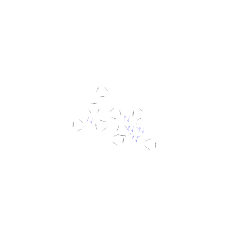 c1ccc(-c2ccc3c(c2)c2c(-c4cccc5c4c4ccccc4n5-c4ccccc4-c4nc(-c5ccccc5)nc(-c5ccccc5)n4)cccc2n3-c2ccccc2)cc1